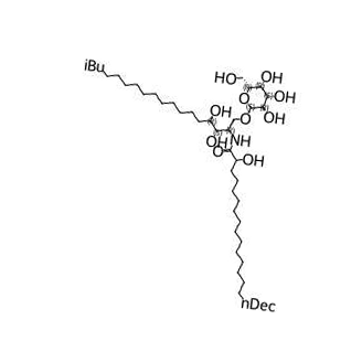 CCCCCCCCCCCCCCCCCCCCCCCC(O)C(=O)N[C@H](CO[C@H]1O[C@H](CO)[C@H](O)[C@H](O)[C@H]1O)[C@H](O)[C@H](O)CCCCCCCCCCCC(C)CC